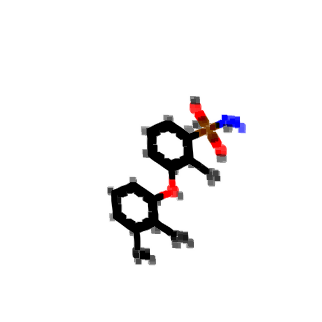 CCc1c(Oc2cccc(C)c2C)cccc1S(N)(=O)=O